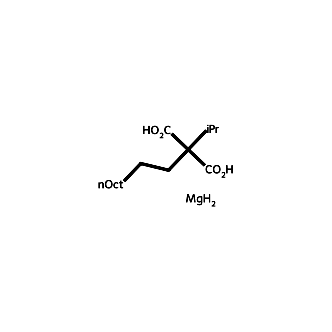 CCCCCCCCCCC(C(=O)O)(C(=O)O)C(C)C.[MgH2]